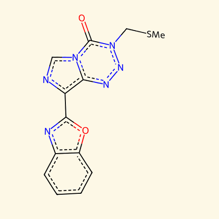 CSCn1nnc2c(-c3nc4ccccc4o3)ncn2c1=O